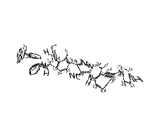 Cc1cc(-c2nn3c(c2C#N)Nc2ccc(N4CCNCC4)cc2CC3)ccc1CNC(=O)OC(C)(C)C